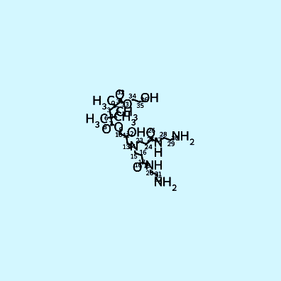 CC(C)(CC(C)(C)C(=O)OCC(O)CN(CCC(=O)NCCN)CCC(=O)NCCN)C(=O)OCCO